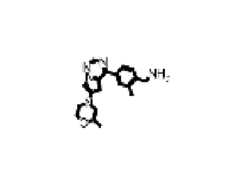 Cc1cc(-c2ncnn3cc(N4CCOC(C)C4)cc23)ccc1CN